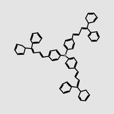 C1=CCC(C(=CC=Cc2ccc(N(c3ccc(C=CC=C(c4ccccc4)C4C=CC=CC4)cc3)c3ccc(C=CC=C(c4ccccc4)C4C=CC=CC4)cc3)cc2)c2ccccc2)C=C1